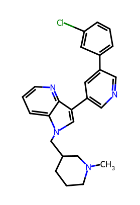 CN1CCCC(Cn2cc(-c3cncc(-c4cccc(Cl)c4)c3)c3ncccc32)C1